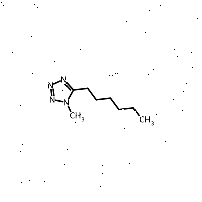 CCCCCCc1nnnn1C